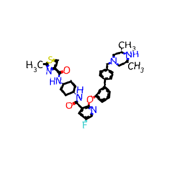 Cc1nc(C(=O)N[C@H]2CC[C@@H](NC(=O)c3cc(F)cnc3Oc3cccc(-c4ccc(CN5C[C@@H](C)N[C@@H](C)C5)cc4)c3)CC2)cs1